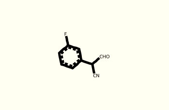 N#CC(C=O)c1cccc(F)c1